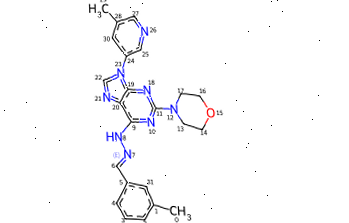 Cc1cccc(/C=N/Nc2nc(N3CCOCC3)nc3c2ncn3-c2cncc(C)c2)c1